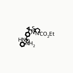 CCOC(=O)C1=Nc2nc(C3(c4ccc(C(=O)Nc5ccccc5N)cc4)CC3)sc2CC1